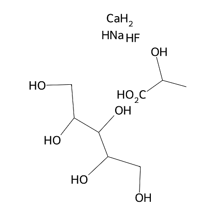 CC(O)C(=O)O.F.OCC(O)C(O)C(O)CO.[CaH2].[NaH]